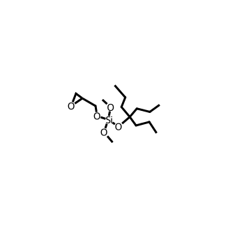 CCCC(CCC)(CCC)O[Si](OC)(OC)OCC1CO1